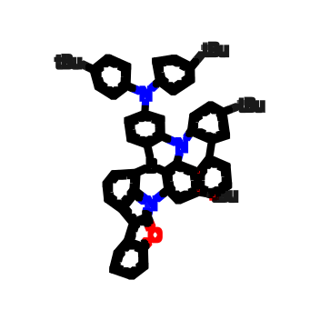 CC(C)(C)c1ccc(N(c2ccc(C(C)(C)C)cc2)c2ccc3c(c2)N(c2ccc(C(C)(C)C)cc2-c2ccccc2)c2cc(C(C)(C)C)cc4c2B3c2cccc3c5c6ccccc6oc5n-4c23)cc1